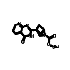 CC(C)(C)OC(=O)N1CC2(c3nc4ncccc4c(=O)[nH]3)CC1C2